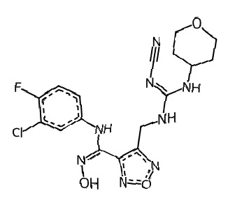 N#CN=C(NCc1nonc1C(=NO)Nc1ccc(F)c(Cl)c1)NC1CCOCC1